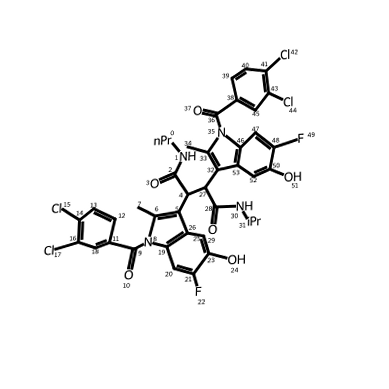 CCCNC(=O)C(c1c(C)n(C(=O)c2ccc(Cl)c(Cl)c2)c2cc(F)c(O)cc12)C(C(=O)NC(C)C)c1c(C)n(C(=O)c2ccc(Cl)c(Cl)c2)c2cc(F)c(O)cc12